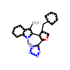 CCCCn1c(-c2c(Cc3ccccc3)coc2-c2nnn[nH]2)c(C(=O)O)c2ccccc21